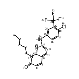 CCCCCn1c(=O)ccc2cnc(Nc3ccc(Cl)c(C(F)(F)F)c3)nc21